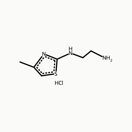 Cc1csc(NCCN)n1.Cl